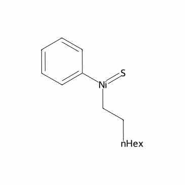 CCCCCCC[CH2][Ni](=[S])[c]1ccccc1